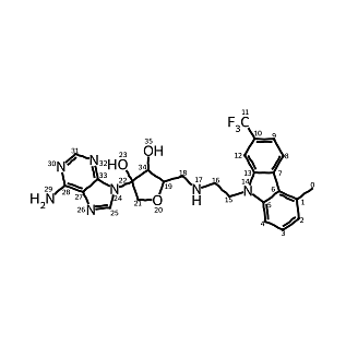 Cc1cccc2c1c1ccc(C(F)(F)F)cc1n2CCNCC1OCC(O)(n2cnc3c(N)ncnc32)C1O